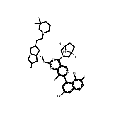 CCc1c(F)ccc2cc(O)cc(-c3ncc4c(N5C[C@H]6CC[C@@H](C5)N6)nc(OC[C@]56C[C@@H](F)CN5C[C@@H](CCN5CCCC(C)(O)C5)C6)nc4c3F)c12